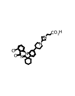 O=C(O)CCN1CC(N2CCC(c3ccc4c(c3)-n3c(nc(=O)c5c(Cl)cccc53)C43CCCCC3)CC2)C1